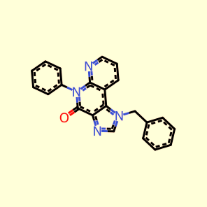 O=c1c2ncn(Cc3ccccc3)c2c2cccnc2n1-c1ccccc1